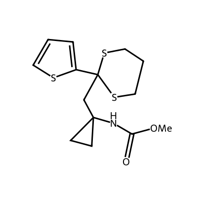 COC(=O)NC1(CC2(c3cccs3)SCCCS2)CC1